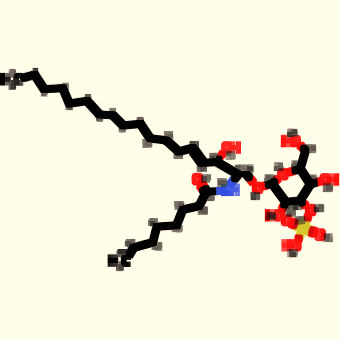 CCCCCCCCCCCCC/C=C/[C@@H](O)[C@H](COC1OC(CO)C(O)C(OS(=O)(=O)O)C1O)NC(=O)CCCCCCC